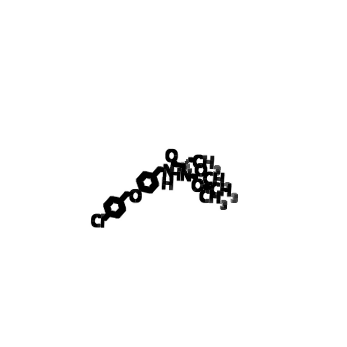 CC[C@H](NC(=O)OC(C)(C)C)C(=O)NCc1ccc(OCc2ccc(Cl)cc2)cc1